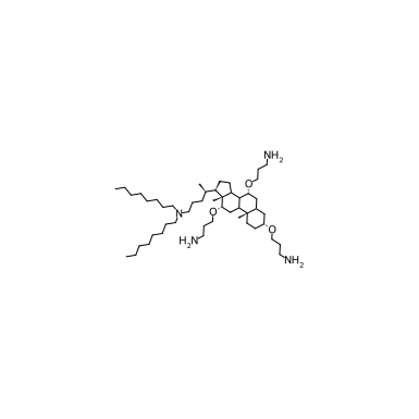 CCCCCCCCN(CCCCCCCC)CCC[C@@H](C)[C@H]1CCC2C3C(C[C@H](OCCCN)[C@@]21C)[C@@]1(C)CC[C@@H](OCCCN)CC1C[C@H]3OCCCN